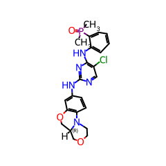 CP(C)(=O)c1ccccc1Nc1nc(Nc2ccc3c(c2)OC[C@H]2COCCN32)ncc1Cl